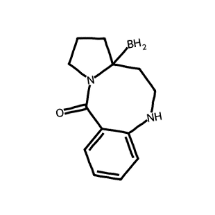 BC12CCCN1C(=O)c1ccccc1NCC2